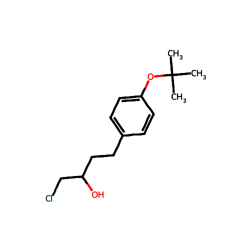 CC(C)(C)Oc1ccc(CCC(O)CCl)cc1